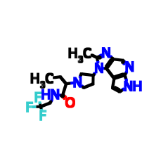 CCC(C(=O)NCC(F)(F)F)N1CCC(n2c(C)nc3cnc4[nH]ccc4c32)C1